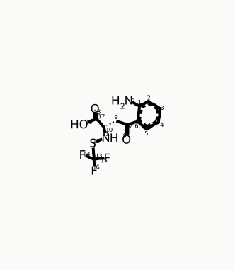 Nc1ccccc1C(=O)C[C@H](NSC(F)(F)F)C(=O)O